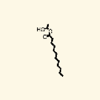 CCCCCCCCCCCC(=O)OC(C)O